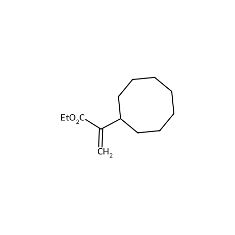 C=C(C(=O)OCC)C1CCCCCCC1